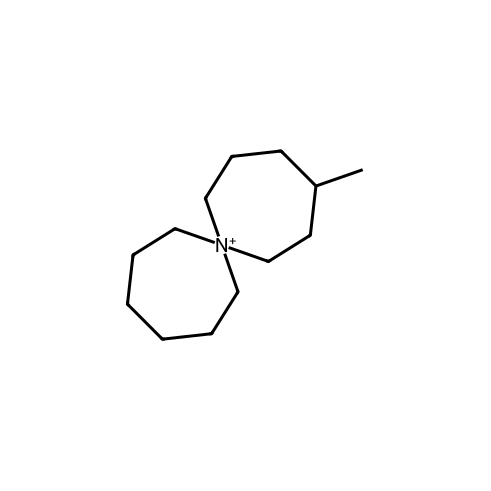 CC1CCC[N+]2(CCCCCC2)CC1